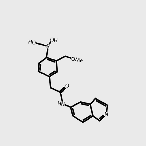 COCc1cc(CC(=O)Nc2ccc3cnccc3c2)ccc1B(O)O